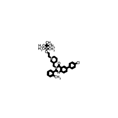 Cc1ccccc1-c1nc2ccc(-c3ccc(Cl)cc3)cc2c(=O)n1CC1CCCN(CCO[Si](C)(C)C(C)(C)C)C1